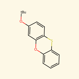 CC(C)(C)Oc1ccc2c(c1)Oc1ccccc1S2